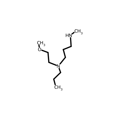 CCCN(CCCNC)CCOC